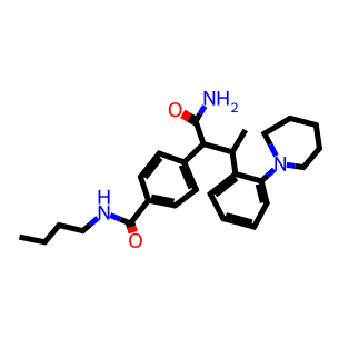 CCCCNC(=O)c1ccc(C(C(N)=O)C(C)c2ccccc2N2CCCCC2)cc1